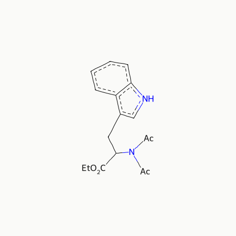 CCOC(=O)C(Cc1c[nH]c2ccccc12)N(C(C)=O)C(C)=O